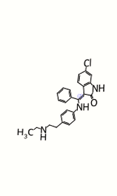 CCNCCc1ccc(N/C(=C2\C(=O)Nc3cc(Cl)ccc32)c2ccccc2)cc1